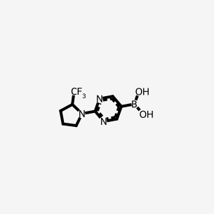 OB(O)c1cnc(N2CCCC2C(F)(F)F)nc1